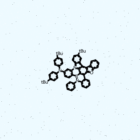 CC(C)(C)c1ccc(N(c2ccc(C(C)(C)C)cc2)c2ccc3c(c2)-n2c4ccc(C(C)(C)C)cc4c4c5c(oc6ccccc65)c5c(c42)B3N(c2ccccc2)c2ccccc2-5)cc1